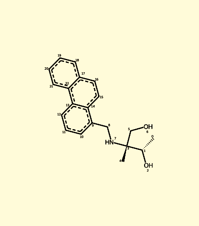 C[C@H](O)[C@@](C)(CO)NCc1cccc2c1ccc1ccccc12